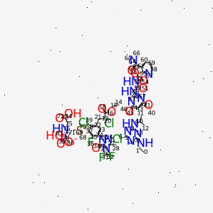 CCNc1nc(Cl)nc(NC(C)C)n1.CCOC(=O)C(Cl)Cc1cc(-n2nc(C)n(C(F)F)c2=O)c(F)cc1Cl.COc1cc(OC)nc(NC(=O)NS(=O)(=O)c2ncccc2C(=O)N(C)C)n1.C[S+](C)C.O=C(O)CNCP(=O)([O-])O